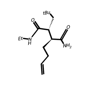 C=CCC[C@H](C(N)=O)[C@@H](CC(C)(C)C)C(=O)NCC